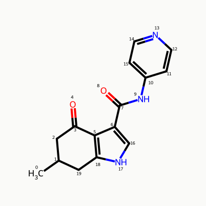 CC1CC(=O)c2c(C(=O)Nc3ccncc3)c[nH]c2C1